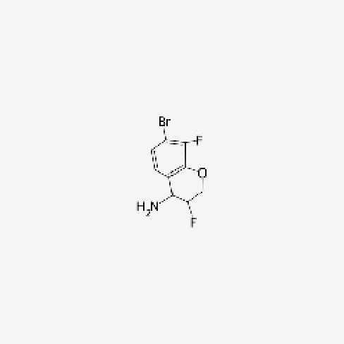 NC1c2ccc(Br)c(F)c2OCC1F